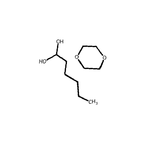 C1COCCO1.CCCCCC(O)O